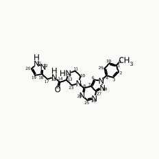 Cc1ccc(-n2cc3c(N4CCNC(C(=O)NCc5cc[nH]n5)C4)ncnc3n2)cc1